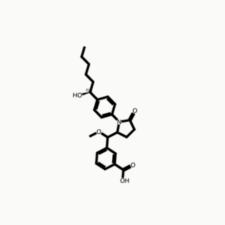 CCCCC[C@H](O)c1ccc(N2C(=O)CCC2C(OC)c2cccc(C(=O)O)c2)cc1